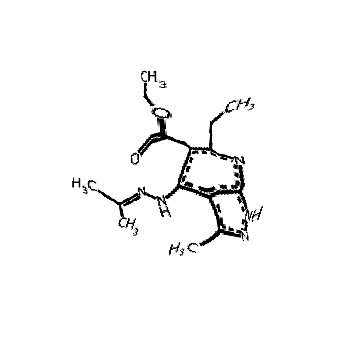 CCOC(=O)c1c(CC)nc2[nH]nc(C)c2c1NN=C(C)C